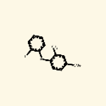 COc1ccc(Nc2ccccc2F)c(C)c1